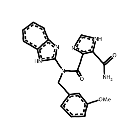 COc1cccc(CN(C(=O)c2nc[nH]c2C(N)=O)c2nc3ccccc3[nH]2)c1